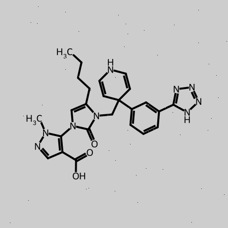 CCCCc1cn(-c2c(C(=O)O)cnn2C)c(=O)n1CC1(c2cccc(-c3nnn[nH]3)c2)C=CNC=C1